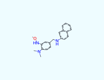 CONc1cc(CNc2ccc3ccccc3c2)ccc1N(C)C